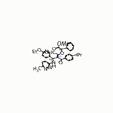 CCOc1ccc([C@H](Nc2ccc(C)nn2)/C(C(=O)c2ccc(C(C)C)cc2)=C(\C=O)O[C@@H](C(=O)OC)c2ccccc2)cn1